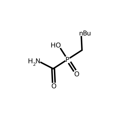 CCCCCP(=O)(O)C(N)=O